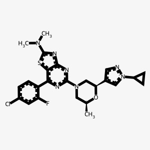 C[C@H]1CN(c2nc(-c3ccc(Cl)cc3F)c3sc(N(C)C)nc3n2)C[C@@H](c2cnn(C3CC3)c2)O1